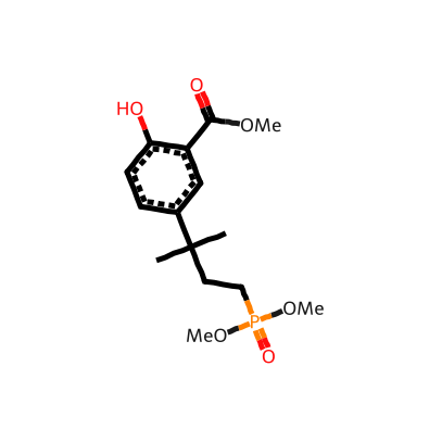 COC(=O)c1cc(C(C)(C)CCP(=O)(OC)OC)ccc1O